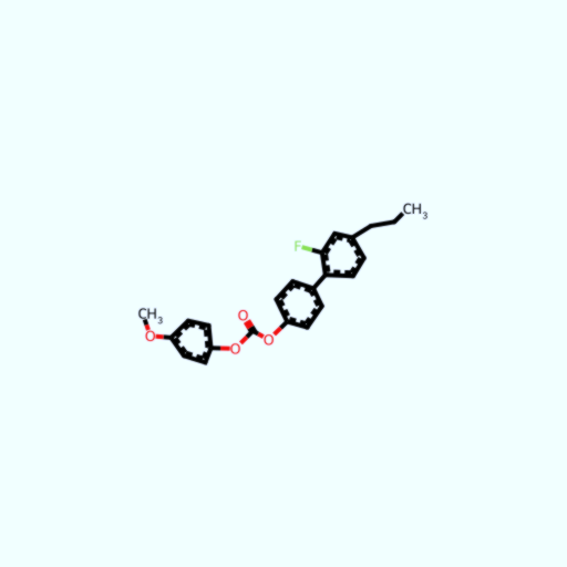 CCCc1ccc(-c2ccc(OC(=O)Oc3ccc(OC)cc3)cc2)c(F)c1